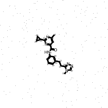 Cc1cc(C(=O)Nc2cccc(CCc3nncn3C)c2)nc(C2CC2)n1